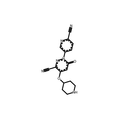 N#Cc1ccc(-n2nc(C#N)c(OC3CCNCC3)cc2=O)cn1